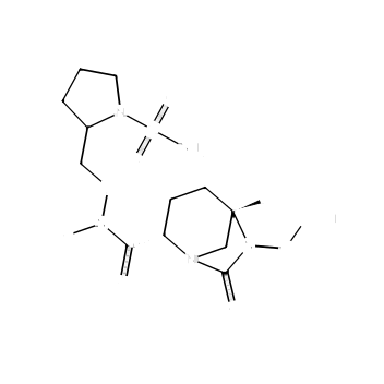 CN(OCC1CCCN1S(N)(=O)=O)C(=O)[C@@H]1CC[C@H]2CN1C(=O)N2OS(=O)(=O)O